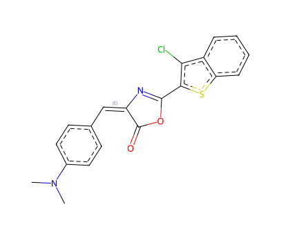 CN(C)c1ccc(/C=C2/N=C(c3sc4ccccc4c3Cl)OC2=O)cc1